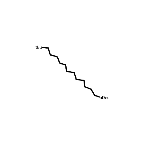 [CH2]C(C)(C)CCCCCCCCCCCCCCCCCCCCCC